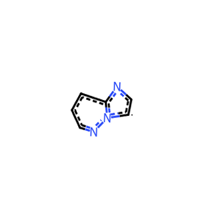 [c]1cnc2cccnn12